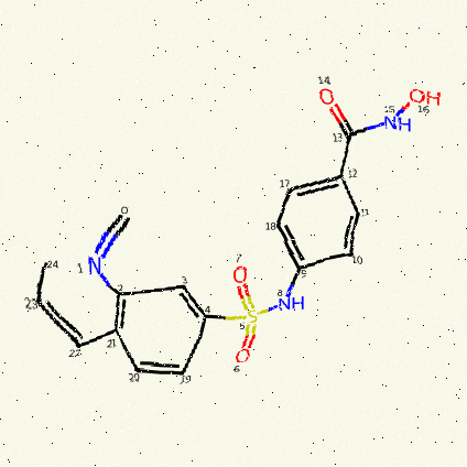 C=Nc1cc(S(=O)(=O)Nc2ccc(C(=O)NO)cc2)ccc1/C=C\C